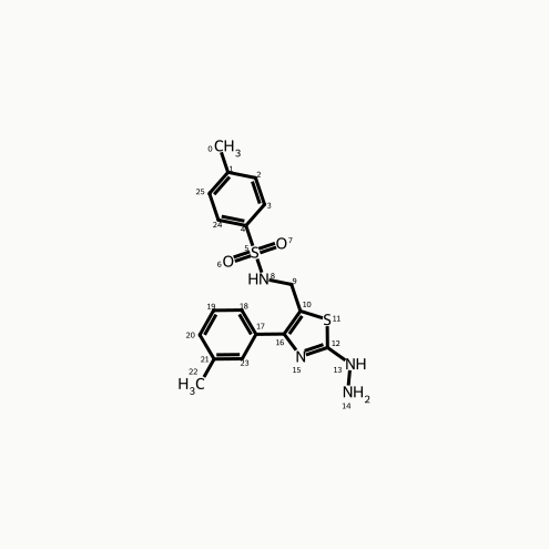 Cc1ccc(S(=O)(=O)NCc2sc(NN)nc2-c2cccc(C)c2)cc1